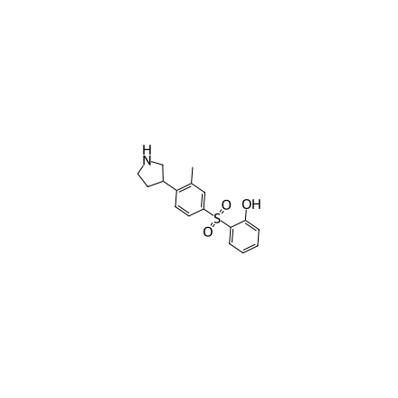 Cc1cc(S(=O)(=O)c2ccccc2O)ccc1C1CCNC1